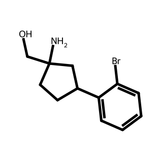 NC1(CO)CCC(c2ccccc2Br)C1